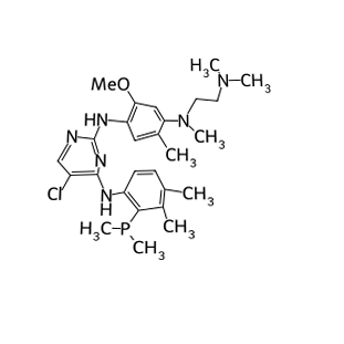 COc1cc(N(C)CCN(C)C)c(C)cc1Nc1ncc(Cl)c(Nc2ccc(C)c(C)c2P(C)C)n1